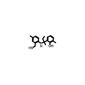 CCC(C)(Pc1ccc(C)cc1CS)c1cccc(C)c1O